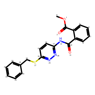 COC(=O)c1ccccc1C(=O)Nc1ccc(SCc2ccccc2)nn1